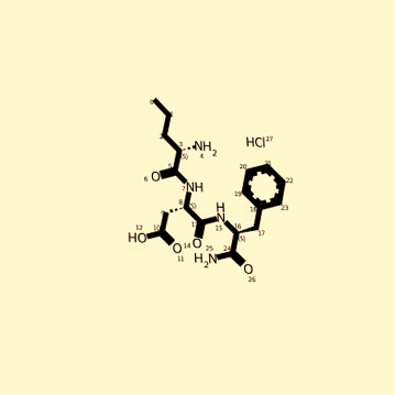 CCC[C@H](N)C(=O)N[C@@H](CC(=O)O)C(=O)N[C@@H](Cc1ccccc1)C(N)=O.Cl